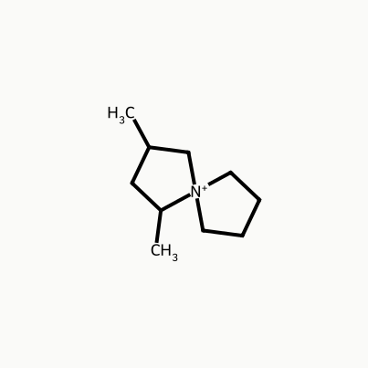 CC1CC(C)[N+]2(CCCC2)C1